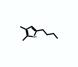 CCCCc1cc(C)c(C)[nH]1